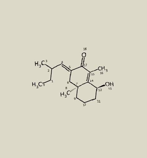 CCC(C)/C=C1\C[C@]2(C)CCC[C@H](O)C2=C(C)C1=O